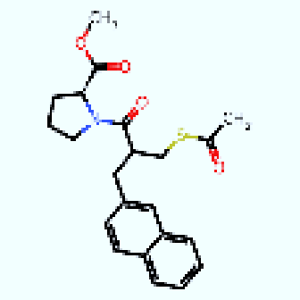 COC(=O)[C@@H]1CCCN1C(=O)C(CSC(C)=O)Cc1ccc2ccccc2c1